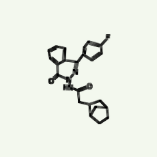 O=C(CC1CC2CCC1C2)Nn1nc(-c2ccc(F)cc2)c2ccccc2c1=O